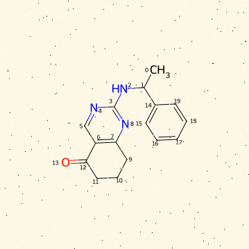 CC(Nc1ncc2c(n1)CCCC2=O)c1ccccc1